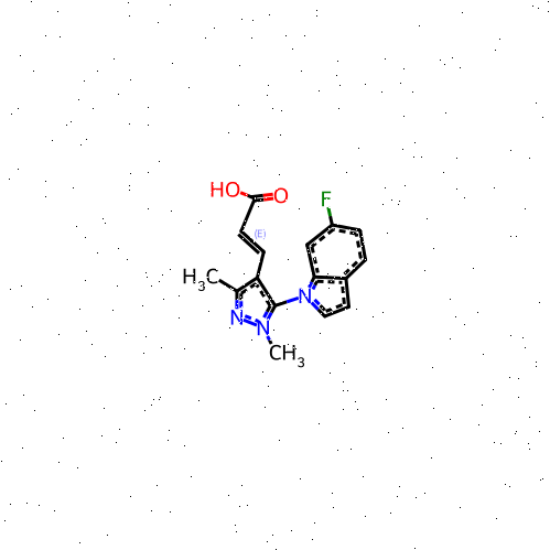 Cc1nn(C)c(-n2ccc3ccc(F)cc32)c1/C=C/C(=O)O